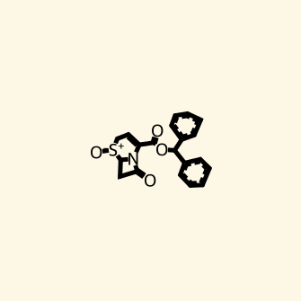 O=C(OC(c1ccccc1)c1ccccc1)C1=CC[S+]([O-])C2CC(=O)N12